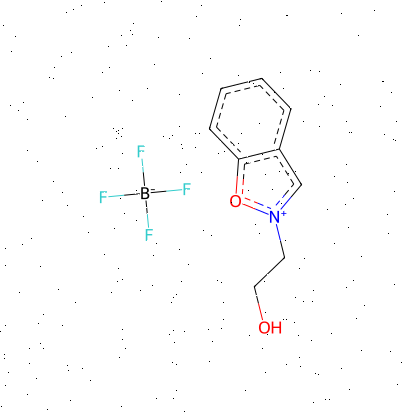 F[B-](F)(F)F.OCC[n+]1cc2ccccc2o1